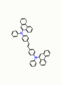 C1=CCc2c(cc(N(c3ccccc3)c3ccc(C=Cc4ccc(N(c5ccccc5)c5cc6ccccc6c6ccccc56)cc4)cc3)c3ccccc23)C1